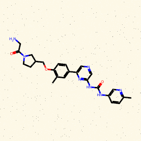 Cc1ccc(NC(=O)Nc2cncc(-c3ccc(OCC4CCN(C(=O)CN)C4)c(C)c3)n2)cn1